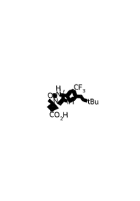 CC(C)C1=CN(C2(C)C=C(C(=O)O)C2)C(=O)N[C@@]1(C)c1ccc(CCC(C)(C)C)c(C(F)(F)F)c1